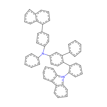 c1ccc(-c2cc(N(c3ccccc3)c3ccc(-c4cccc5ccccc45)cc3)ccc2-c2ccccc2-n2c3ccccc3c3ccccc32)cc1